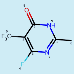 Cc1nc(F)c(C(F)(F)F)c(=O)[nH]1